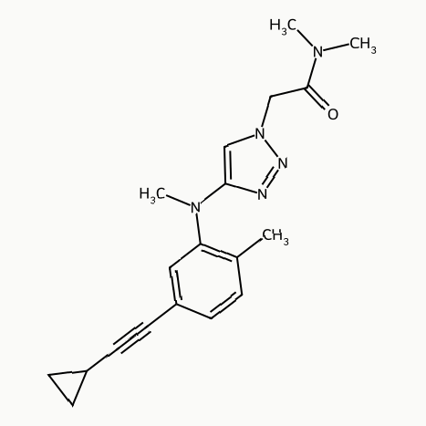 Cc1ccc(C#CC2CC2)cc1N(C)c1cn(CC(=O)N(C)C)nn1